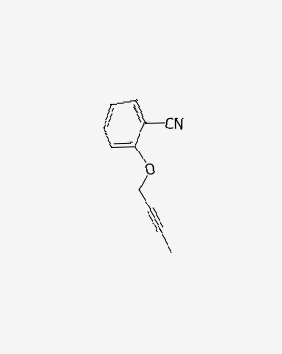 CC#CCOc1ccccc1C#N